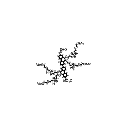 COCCOCCNS(=O)(=O)CCCOC1c2cc(COC=O)ccc2-c2ccc(-c3ccc4c(c3)C(OCCCS(=O)(=O)NCCOCCOC)C(OCCCS(=O)(=O)NCCOCCOC)c3cc(CC(=O)O)ccc3-4)cc2C1OCCCS(=O)(=O)NCCOCCOC